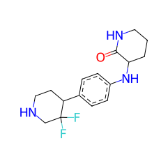 O=C1NCCCC1Nc1ccc(C2CCNCC2(F)F)cc1